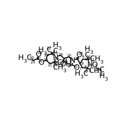 CCON1C(C)(C)CC2(CC1(C)C)OCN(CC(O)CN1C(C)(C)CC(OC(=O)CC)CC1(C)C)C2=O